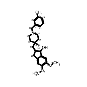 COc1cc2c(cc1OC)C(O)C(CC1(F)CCN(Cc3cccc(C)c3)CC1)C2